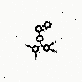 N#Cc1cc(C#N)cc(N(c2ccc(-c3cccc4c3oc3ccccc34)cc2)c2ccc(C#N)c(C#N)c2)c1